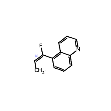 [CH2]/C=C(/F)c1cccc2ncccc12